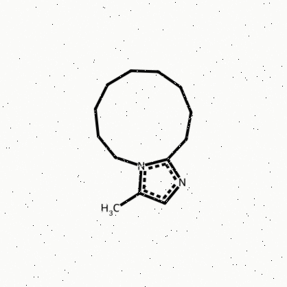 Cc1cnc2n1CCCCCCCCC2